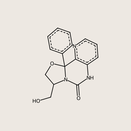 O=C1Nc2cccnc2C2(c3ccccc3)OCC(CO)N12